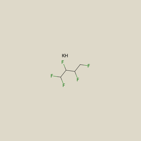 FCC(F)C(F)C(F)F.[KH]